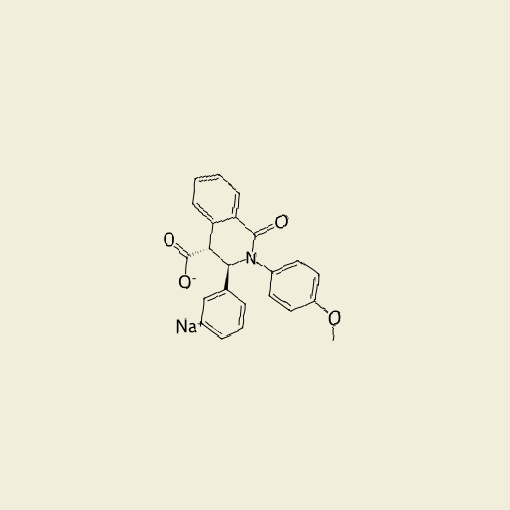 COc1ccc(N2C(=O)c3ccccc3[C@@H](C(=O)[O-])[C@@H]2c2ccccc2)cc1.[Na+]